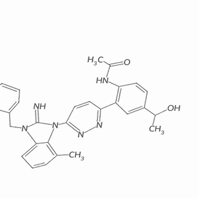 CC(=O)Nc1ccc(C(C)O)cc1-c1ccc(-n2c(=N)n(Cc3ccccc3Cl)c3cccc(C)c32)nn1